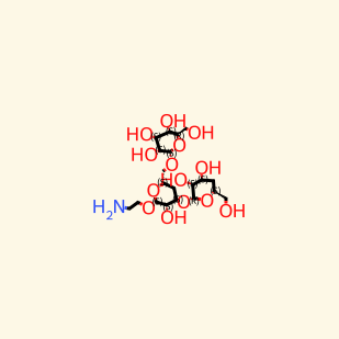 NCCO[C@H]1O[C@H](CO[C@H]2O[C@H](CO)[C@@H](O)[C@H](O)[C@@H]2O)C[C@H](O[C@H]2O[C@H](CO)C[C@H](O)[C@@H]2O)[C@@H]1O